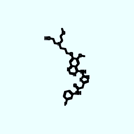 COCCN(CCO)CCCOc1cc2ncnc(Nc3ncc(CC(=O)Nc4cccc(F)c4)s3)c2cc1OC